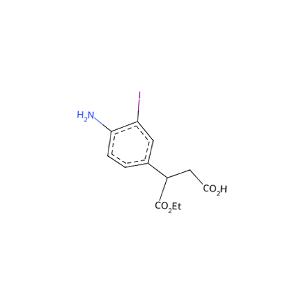 CCOC(=O)C(CC(=O)O)c1ccc(N)c(I)c1